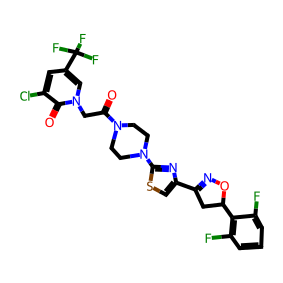 O=C(Cn1cc(C(F)(F)F)cc(Cl)c1=O)N1CCN(c2nc(C3=NOC(c4c(F)cccc4F)C3)cs2)CC1